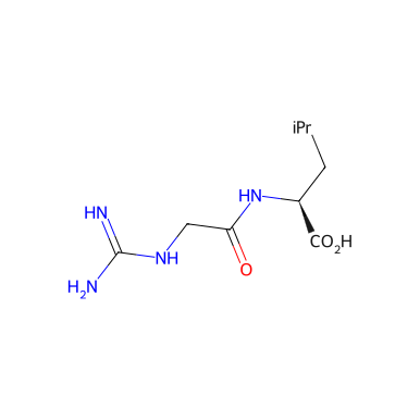 CC(C)C[C@H](NC(=O)CNC(=N)N)C(=O)O